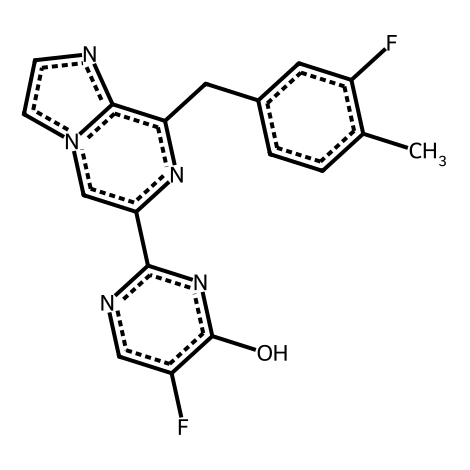 Cc1ccc(Cc2nc(-c3ncc(F)c(O)n3)cn3ccnc23)cc1F